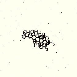 CN[C@@H]1C(O)=C(C(N)=O)C(=O)[C@@]2(O)C(O)=C3C(=O)c4c(O)cc(C5CCCN5C)cc4C[C@H]3C[C@@H]12